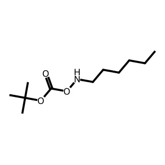 CCCCCCNOC(=O)OC(C)(C)C